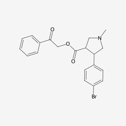 CN1CC(C(=O)OCC(=O)c2ccccc2)C(c2ccc(Br)cc2)C1